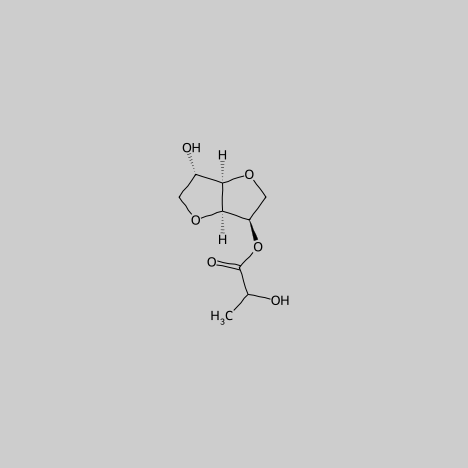 CC(O)C(=O)O[C@@H]1CO[C@H]2[C@@H]1OC[C@@H]2O